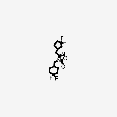 O=c1onc(CC2CCC(F)(F)C2)n1CC1CCC(F)(F)CC1